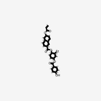 C=CC(=O)Oc1ccc2cc(C(=O)Oc3ccc(OC(=O)c4ccc(O)cc4)cc3CC)ccc2c1